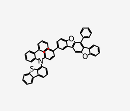 c1ccc(-c2ccccc2N(c2ccc(-c3ccc4oc5c(-c6ccccc6)c6c(cc5c4c3)oc3ccccc36)cc2)c2cccc3c2sc2ccccc23)cc1